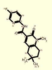 Cn1c2c(cc(C(=O)Nc3ccc(F)cn3)c1=O)CC(C)(C)CC2